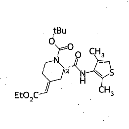 CCOC(=O)C=C1CCN(C(=O)OC(C)(C)C)[C@H](C(=O)Nc2c(C)csc2C)C1